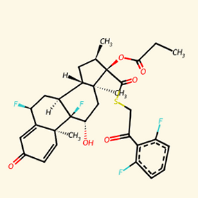 CCC(=O)O[C@]1(C(=O)SCC(=O)c2c(F)cccc2F)[C@H](C)C[C@H]2[C@@H]3C[C@H](F)C4=CC(=O)C=C[C@]4(C)[C@@]3(F)[C@@H](O)C[C@@]21C